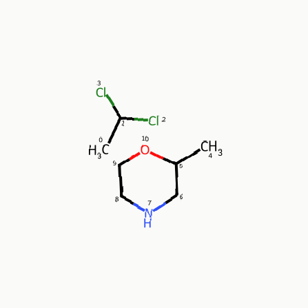 CC(Cl)Cl.CC1CNCCO1